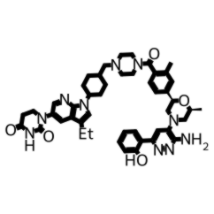 CCc1cn(C2CCC(CN3CCN(C(=O)c4ccc([C@@H]5CN(c6cc(-c7ccccc7O)nnc6N)C[C@H](C)O5)cc4C)CC3)CC2)c2ncc(N3CCC(=O)NC3=O)cc12